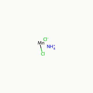 [Cl-].[Cl][Mn].[NH4+]